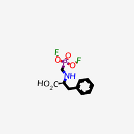 O=C(O)[C@H](Cc1ccccc1)NCP(=O)(OF)OF